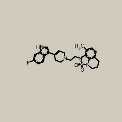 Cc1ccc2c3c1N(CCN1CC=C(c4c[nH]c5cc(F)ccc45)CC1)S(=O)(=O)N3CCC2